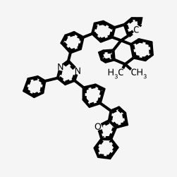 CC1(C)c2ccccc2C2(c3ccccc3-c3ccc(-c4cccc(-c5nc(-c6ccccc6)cc(-c6ccc(-c7cccc8c7oc7ccccc78)cc6)n5)c4)cc32)c2ccccc21